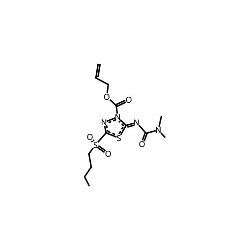 C=CCOC(=O)n1nc(S(=O)(=O)CCCC)sc1=NC(=O)N(C)C